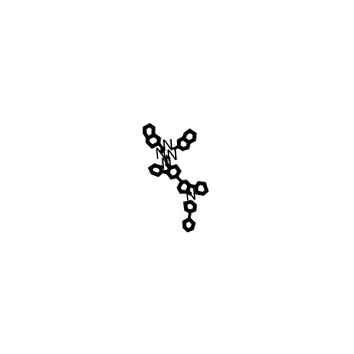 c1ccc(-c2ccc(-n3c4ccccc4c4cc(-c5ccc6c(c5)c5ccccc5n6-c5nc(-c6ccc7ccccc7c6)nc(-c6ccc7ccccc7c6)n5)ccc43)cc2)cc1